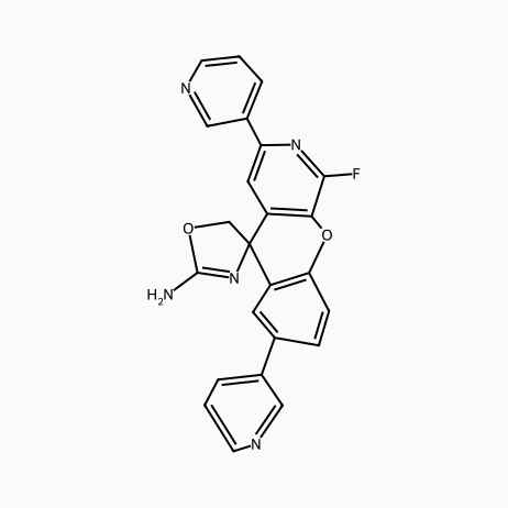 NC1=NC2(CO1)c1cc(-c3cccnc3)ccc1Oc1c2cc(-c2cccnc2)nc1F